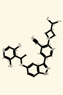 CC(Oc1ccc2[nH]nc(-c3cnc(N4CC(C(F)F)C4)c(C#N)c3)c2c1)c1c(Cl)cncc1Cl